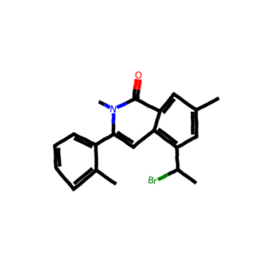 Cc1cc(C(C)Br)c2cc(-c3ccccc3C)n(C)c(=O)c2c1